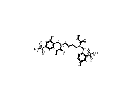 C=CC(=O)N(CCCCN(Cc1ccc(C)cc1S(=O)(=O)O)C(=O)C=C)Cc1ccc(S(=O)(=O)O)cc1C